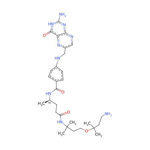 C[C@H](CCC(=O)NC(C)(C)CCOC(C)(C)CCN)NC(=O)c1ccc(NCc2cnc3nc(N)[nH]c(=O)c3n2)cc1